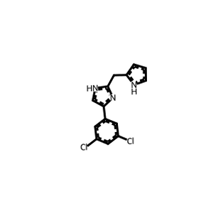 Clc1cc(Cl)cc(-c2c[nH]c(Cc3ccc[nH]3)n2)c1